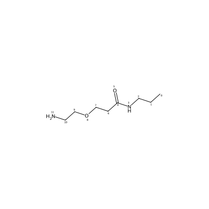 CCCNC(=O)CCOCCN